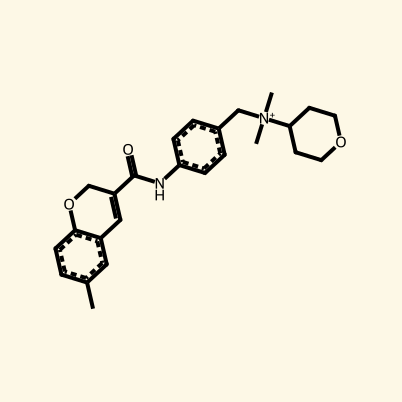 Cc1ccc2c(c1)C=C(C(=O)Nc1ccc(C[N+](C)(C)C3CCOCC3)cc1)CO2